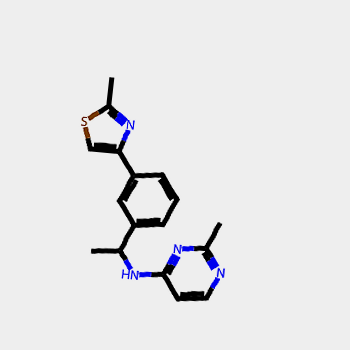 Cc1nccc(NC(C)c2cccc(-c3csc(C)n3)c2)n1